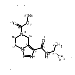 C[C@@H](NC(=O)c1ncn2c1CN(C(=O)OC(C)(C)C)CC2)C(F)(F)F